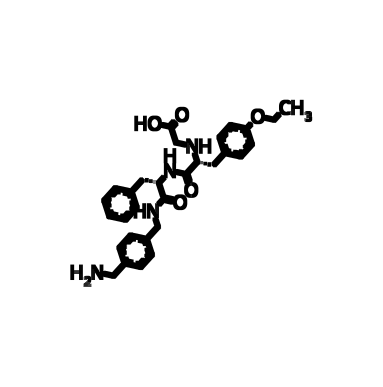 CCOc1ccc(C[C@@H](NCC(=O)O)C(=O)N[C@@H](Cc2ccccc2)C(=O)NCc2ccc(CN)cc2)cc1